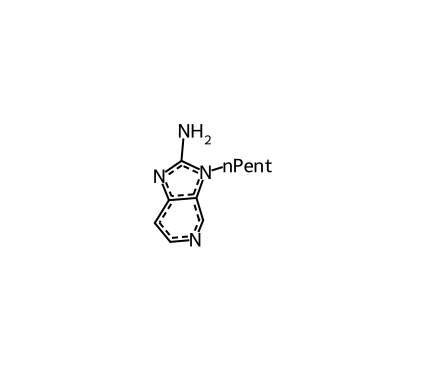 CCCCCn1c(N)nc2ccncc21